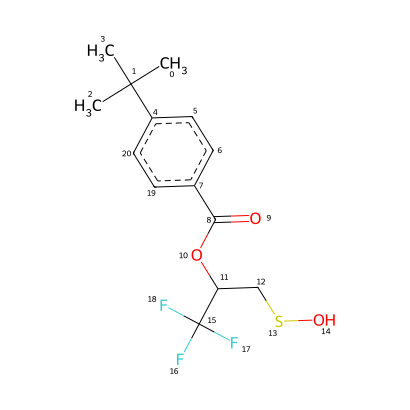 CC(C)(C)c1ccc(C(=O)OC(CSO)C(F)(F)F)cc1